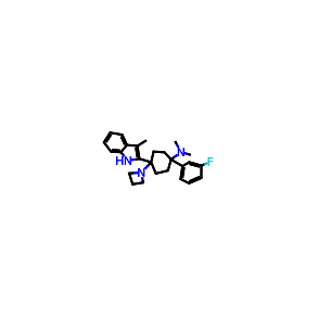 Cc1c(C2(N3CCC3)CCC(c3cccc(F)c3)(N(C)C)CC2)[nH]c2ccccc12